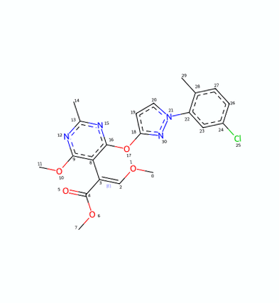 CO/C=C(/C(=O)OC)c1c(OC)nc(C)nc1Oc1ccn(-c2cc(Cl)ccc2C)n1